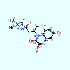 CC(C)(C#N)NC(=O)CC1CSc2cc(Br)cc3[nH]c(=O)c(=O)n1c23